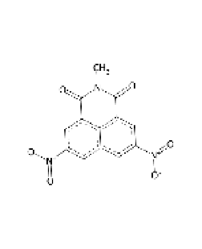 CN1C(=O)c2cc([N+](=O)[O-])cc3cc([N+](=O)[O-])cc(c23)C1=O